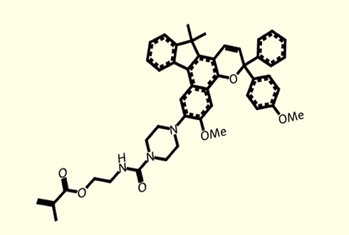 C=C(C)C(=O)OCCNC(=O)N1CCN(c2cc3c4c(c5c(c3cc2OC)OC(c2ccccc2)(c2ccc(OC)cc2)C=C5)C(C)(C)c2ccccc2-4)CC1